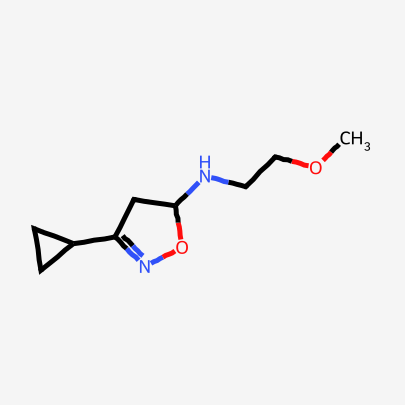 COCCNC1CC(C2CC2)=NO1